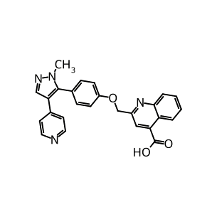 Cn1ncc(-c2ccncc2)c1-c1ccc(OCc2cc(C(=O)O)c3ccccc3n2)cc1